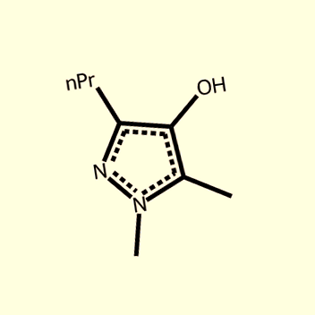 [CH2]CCc1nn(C)c(C)c1O